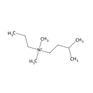 CCC[N+](C)(C)CCC(C)C